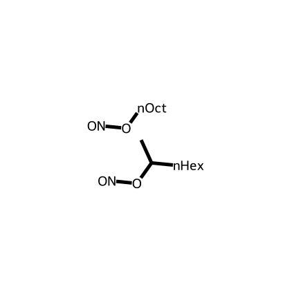 CCCCCCC(C)ON=O.CCCCCCCCON=O